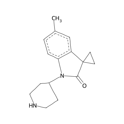 Cc1ccc2c(c1)C1(CC1)C(=O)N2C1CCNCC1